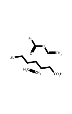 C=C.C=COC(=O)CC.CC(C)(C)CCCCCC(=O)O